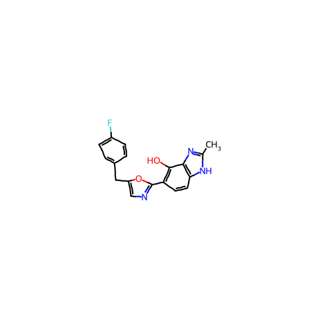 Cc1nc2c(O)c(-c3ncc(Cc4ccc(F)cc4)o3)ccc2[nH]1